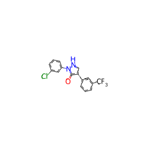 O=c1c(-c2cccc(C(F)(F)F)c2)c[nH]n1-c1cccc(Cl)c1